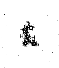 CCCC1CCCCN1C(=O)c1cc(C(=O)N[C@@H](Cc2ccccc2)[C@@H](O)CNCc2ccc(F)cc2)nn1CC